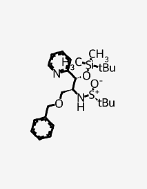 CC(C)(C)[S@@+]([O-])N[C@@H](COCc1ccccc1)[C@@H](O[Si](C)(C)C(C)(C)C)c1ccccn1